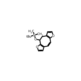 CC(C)(C)[Si](C)(C)OC1Cc2ccoc2/C=C\c2ccoc21